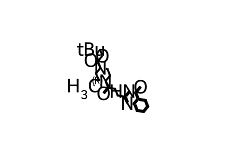 C[C@@H]1CN(C(=O)OC(C)(C)C)CCN1C(=O)CCc1nc2ccccc2c(=O)[nH]1